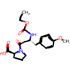 CCOC(=O)N[C@H](Cc1ccc(OC)cc1)C(=O)N1CCCC1C(=O)O